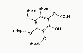 CCCCCCCCCc1c(OC(=O)O)c(O)c(OCCCCCCC)c(OCCCCCCC)c1OCCCCCCC